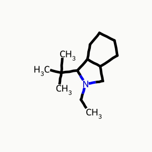 CCN1CC2CCCCC2C1C(C)(C)C